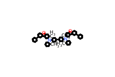 Cc1ccccc1N(c1ccc2oc3ccc(-c4ccccc4)cc3c2c1)c1ccc(-c2ccc(N(c3ccc4oc5ccc(-c6ccccc6)cc5c4c3)c3ccccc3C)c(C)c2)cc1C